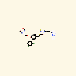 O=C1/C(=C/c2ccc(OCCN3CCOCC3)c(-c3ccc(Cl)cc3Cl)c2)SC(=S)N1CCCc1nn[nH]n1